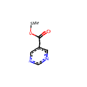 CSOC(=O)c1cncnc1